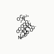 O=[N+]([O-])[O-].O=[N+]([O-])[O-].O=[N+]([O-])[O-].O=[N+]([O-])[O-].O=[N+]([O-])[O-].[Co+2].[Li+].[Ni+2]